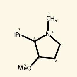 COC1CCN(C)C1C(C)C